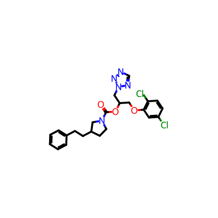 O=C(OC(COc1cc(Cl)ccc1Cl)Cn1ncnn1)N1CCC(CCc2ccccc2)C1